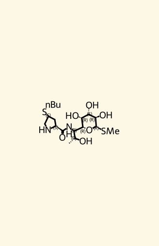 CCCCS[C@@H]1CN[C@H](C(=O)N[C@@H]([C@H]2O[C@H](SC)[C@H](O)[C@@H](O)[C@H]2O)[C@@H](C)O)C1